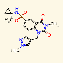 Cn1cc(Cn2c(=O)n(C)c(=O)c3cc(S(=O)(=O)NC4(C)CC4)ccc32)cn1